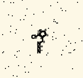 [N-]=[N+]=NCc1ccsc1Cl